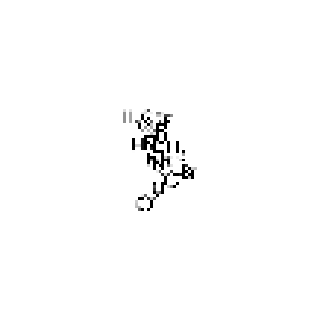 Cc1cc(NC(=O)OC(C)C(F)(F)F)nn1Cc1cc(Br)ccc1OCc1ccccc1